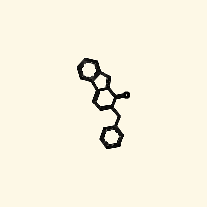 O=C1C(Cc2ccccc2)=CC=C2C1=Cc1ccccc12